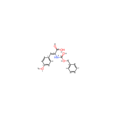 COc1ccc(C=C(NC(=O)OCc2ccccc2)C(=O)O)cc1